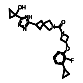 O=C(N1CC(Oc2cccc(C3CC3)c2F)C1)N1CC2(CC(c3nnc(C4(O)CC4)[nH]3)C2)C1